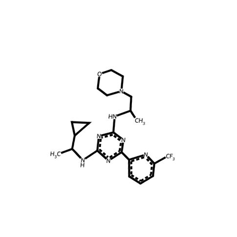 CC(CN1CCOCC1)Nc1nc(NC(C)C2CC2)nc(-c2cccc(C(F)(F)F)n2)n1